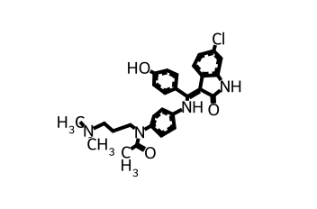 CC(=O)N(CCCN(C)C)c1ccc(N/C(=C2\C(=O)Nc3cc(Cl)ccc32)c2ccc(O)cc2)cc1